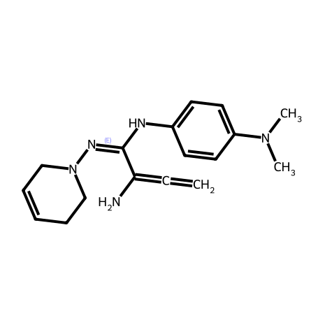 C=C=C(N)/C(=N\N1CC=CCC1)Nc1ccc(N(C)C)cc1